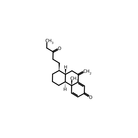 C=C1C[C@H]2[C@H](CCC(=O)CC)CCC[C@@H]2[C@@]2(C)C=CC(=O)C=C12